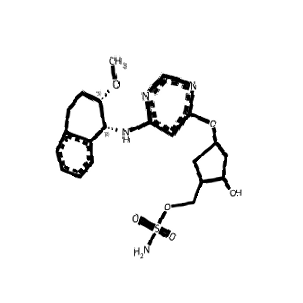 CO[C@H]1CCc2ccccc2[C@H]1Nc1cc(OC2CC(O)C(COS(N)(=O)=O)C2)ncn1